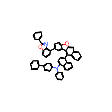 c1ccc(-c2ccc(N(c3ccccc3)c3ccc(-c4c5ccccc5cc5oc6ccc(-c7cccc8oc(-c9ccccc9)nc78)cc6c45)c4ccccc34)cc2)cc1